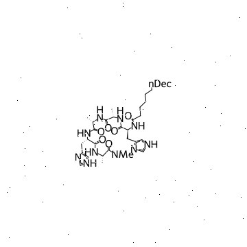 CCCCCCCCCCCCCCCC(=O)N[C@@H](Cc1c[nH]cn1)C(=O)N[C@@H](C)C(=O)N[C@@H](C)C(=O)N[C@@H](Cc1c[nH]cn1)C(=O)N[C@@H](C)C(=O)NC